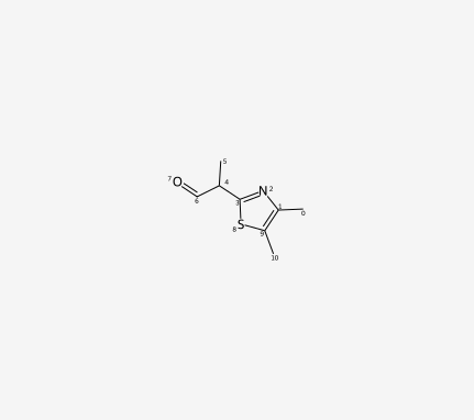 Cc1nc(C(C)C=O)sc1C